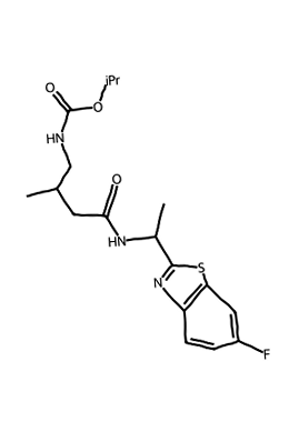 CC(CNC(=O)OC(C)C)CC(=O)NC(C)c1nc2ccc(F)cc2s1